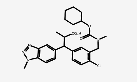 CC(C(=O)O)C(c1ccc(Cl)c(CN(C)C(=O)OC2CCCCC2)c1)c1ccc2c(c1)nnn2C